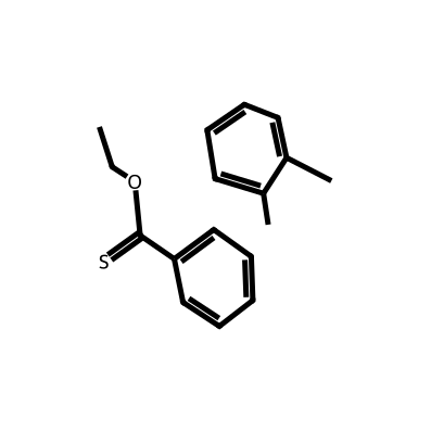 CCOC(=S)c1ccccc1.Cc1ccccc1C